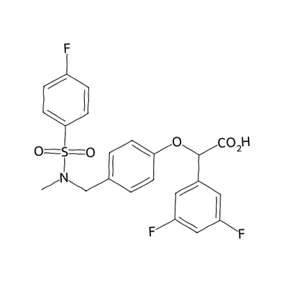 CN(Cc1ccc(OC(C(=O)O)c2cc(F)cc(F)c2)cc1)S(=O)(=O)c1ccc(F)cc1